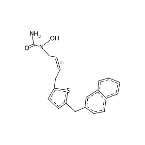 NC(=O)N(O)C/C=C\Cc1ccc(Cc2ccc3ccccc3c2)s1